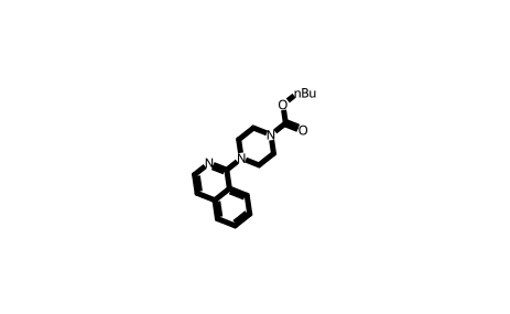 CCCCOC(=O)N1CCN(c2nccc3ccccc23)CC1